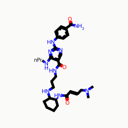 CCCNc1nc(Nc2ccc(C(N)=O)cc2)ncc1C(=O)NCCCNC1CCCC[C@@H]1NC(=O)/C=C/CN(C)C